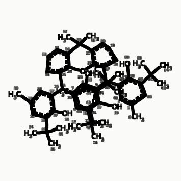 Cc1cc(C(c2cc(C)cc(C(C)(C)C)c2O)c2cccc3c2Oc2c(C(c4cc(C)cc(C(C)(C)C)c4O)c4cc(C)cc(C(C)(C)C)c4O)cccc2C3(C)C)c(O)c(C(C)(C)C)c1